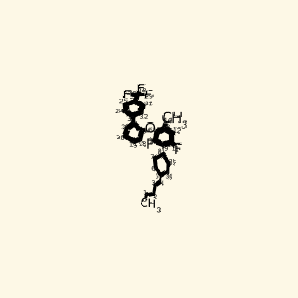 CCCCC[C@H]1CC[C@H](c2c(F)cc(C)c(Oc3ccccc3-c3ccc(C(F)(F)F)cc3)c2F)CC1